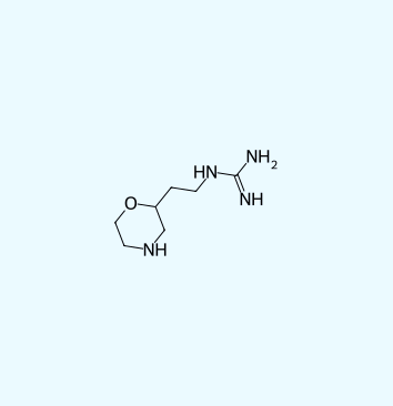 N=C(N)NCCC1CNCCO1